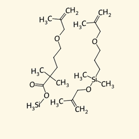 C=C(C)COCCCC(C)(C)C(=O)O[SiH3].C=C(C)COCCC[Si](C)(C)OCC(=C)C